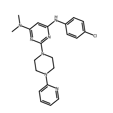 CN(C)c1cc(Nc2ccc(Cl)cc2)nc(N2CCN(c3ccccn3)CC2)n1